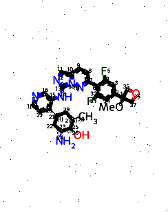 COC1(c2cc(F)c(-c3ccc4cnc(Nc5cnccc5[C@H]5C[C@@H](N)[C@@H](O)[C@@H](C)C5)n4n3)c(F)c2)COC1